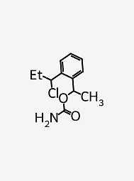 CCC(Cl)c1ccccc1C(C)OC(N)=O